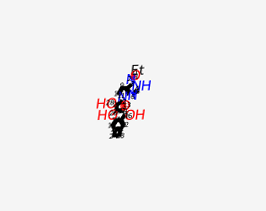 CCON=c1[nH]cnc2c1ccn2[C@@H]1O[C@H](C(O)c2ccc3c(c2)CC3)[C@@H](O)[C@H]1O